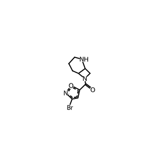 O=C(c1cc(Br)no1)N1CC2NCCCC21